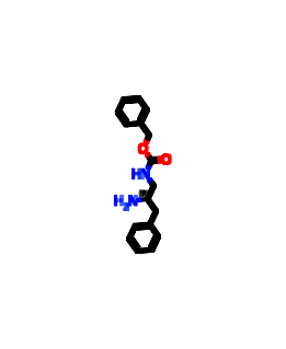 N[C@@H](CNC(=O)OCc1ccccc1)Cc1ccccc1